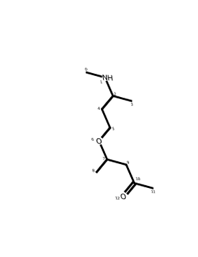 CNC(C)CCOC(C)CC(C)=O